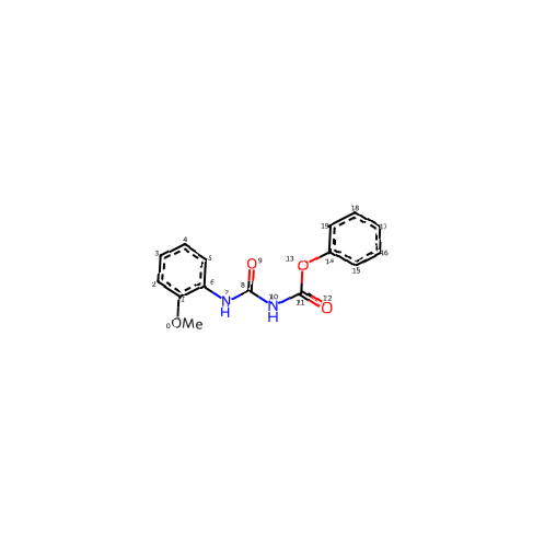 COc1ccccc1NC(=O)NC(=O)Oc1ccccc1